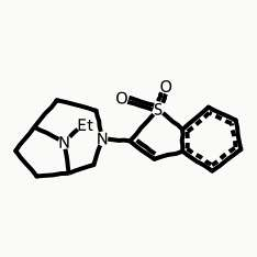 CCN1C2CCC1CN(C1=Cc3ccccc3S1(=O)=O)CC2